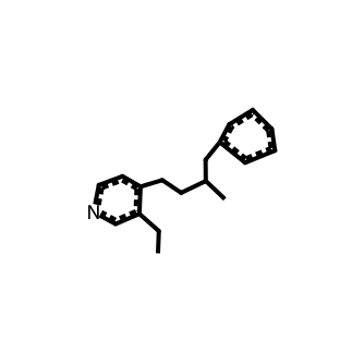 CCc1cnccc1CCC(C)Cc1ccccc1